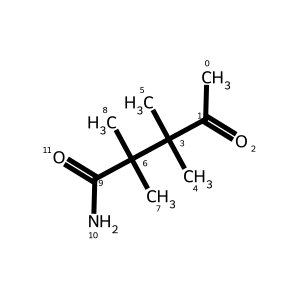 CC(=O)C(C)(C)C(C)(C)C(N)=O